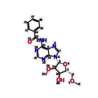 COC[C@H]1O[C@@H](n2cnc3c(NC(=O)c4ccccc4)ncnc32)[C@H](OC)[C@@H]1O